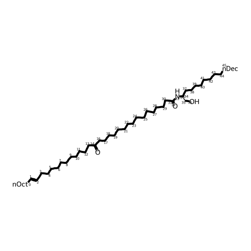 CCCCCCCCC=CCCCCCCCCCCCC(=O)CCCCCCCCCCCCCCCC(=O)N[C@@H](CO)CCCCCCCCCCCCCCCCCC